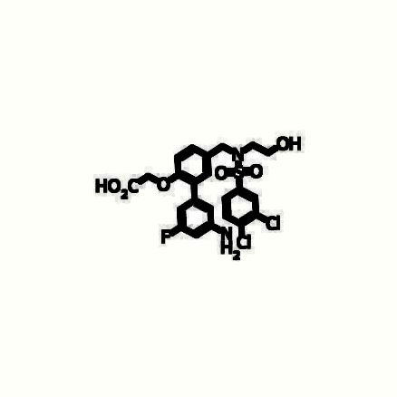 Nc1cc(F)cc(-c2cc(CN(CCO)S(=O)(=O)c3ccc(Cl)c(Cl)c3)ccc2OCC(=O)O)c1